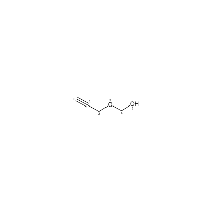 C#CCOCO